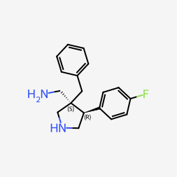 NC[C@@]1(Cc2ccccc2)CNC[C@@H]1c1ccc(F)cc1